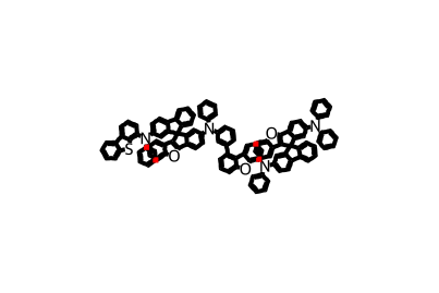 c1ccc(N(c2ccccc2)c2ccc3c(c2)C2(c4ccccc4-c4ccc(N(c5ccccc5)c5cccc6c5oc5cccc(-c7cccc(N(c8ccccc8)c8ccc9c(c8)C8(c%10ccccc%10-c%10ccc(N(c%11ccccc%11)c%11cccc%12c%11sc%11ccccc%11%12)cc%108)c8c-9oc9ccccc89)c7)c56)cc42)c2c-3oc3ccccc23)cc1